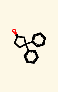 O=C1CCC(c2ccccc2)(c2ccccc2)C1